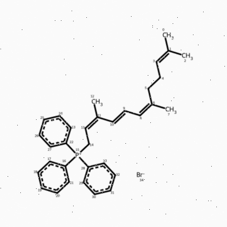 CC(C)=CCCC(C)=CC=CC(C)=CC[P+](c1ccccc1)(c1ccccc1)c1ccccc1.[Br-]